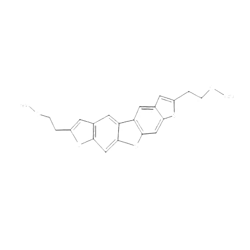 CCCCOCCc1cc2cc3c(cc2s1)sc1cc2sc(CCOCCCC)cc2cc13